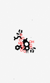 CC[Si](CC)(CC)OC(C(=O)O[C@H]1C[C@@]2(O)[C@@H](OC(=O)c3ccccc3)[C@@H]3[C@]4(OC(C)=O)CO[C@@H]4C[C@H](O[Si](CC)(CC)CC)[C@@]3(C)C(=O)[C@H](O)C(=C1C)C2(C)C)[C@@H](C)CC(C)C